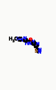 CN1CCN(c2ccc(C(=O)Nc3cc4cc(-c5nncs5)cnc4cn3)cn2)CC1